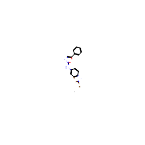 CSc1nc2ccc(Nc3ncc(-c4ccccc4)o3)cc2s1